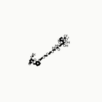 CC(=O)CSC1CC(=O)N(Cc2cccc(OCCOCCOCCOCCNC(=O)NCC3O[C@H]4CCN(C(=O)C(F)(F)F)[C@H]4[C@@H](O)[C@H]3O)c2)C1=O